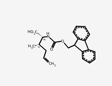 C=CC[C@H](C)[C@@H](NC(=O)OCC1c2ccccc2-c2ccccc21)C(=O)O